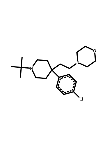 CC(C)(C)N1CCC(CCN2CCOCC2)(c2ccc(Cl)cc2)CC1